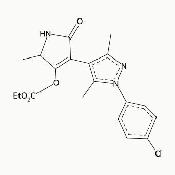 CCOC(=O)OC1=C(c2c(C)nn(-c3ccc(Cl)cc3)c2C)C(=O)NC1C